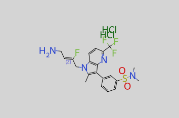 Cc1c(-c2cccc(S(=O)(=O)N(C)C)c2)c2nc(C(F)(F)F)ccc2n1C/C(F)=C/CN.Cl.Cl